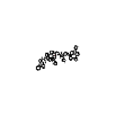 c1ccc(-c2nc(-c3ccc(-c4cccc5c6cccc7c6c6c8c9c(cccc9n(-c9ccccc9)c8ccc6n7-c6nc(-c7cccc8c7oc7ccccc78)c7ccccc7n6)c45)cc3)nc3ccc(-n4c5cccc6c7ccccc7c7cccc8c7c7c(c65)c4ccc7n8-c4ccccc4)cc23)cc1